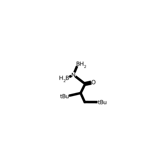 BN(B)C(=O)C(CC(C)(C)C)C(C)(C)C